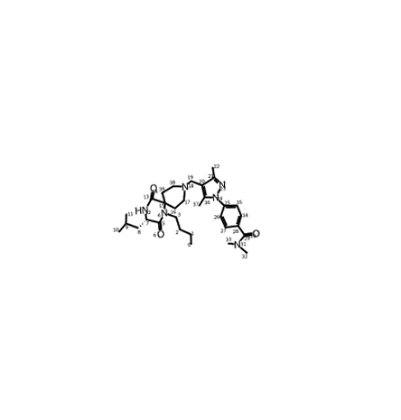 CCCCN1C(=O)[C@H](CC(C)C)NC(=O)C12CCN(Cc1c(C)nn(-c3ccc(C(=O)N(C)C)cc3)c1C)CC2